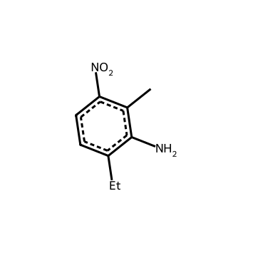 CCc1ccc([N+](=O)[O-])c(C)c1N